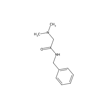 CN(C)CC(=O)NCc1ccccc1